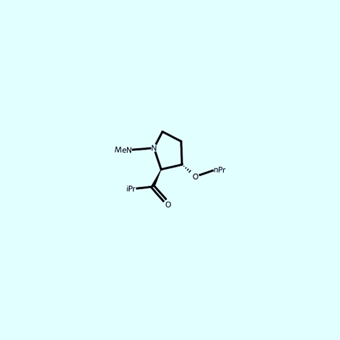 CCCO[C@H]1CCN(NC)[C@@H]1C(=O)C(C)C